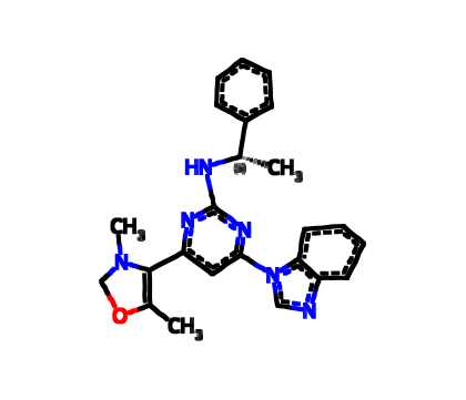 CC1=C(c2cc(-n3cnc4ccccc43)nc(N[C@@H](C)c3ccccc3)n2)N(C)CO1